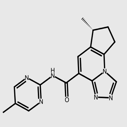 Cc1cnc(NC(=O)c2cc3c(n4cnnc24)CC[C@H]3C)nc1